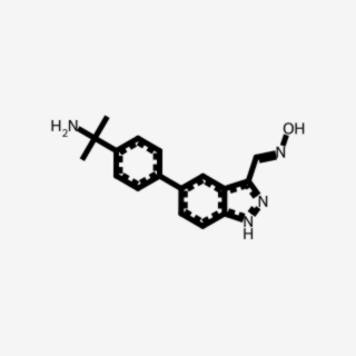 CC(C)(N)c1ccc(-c2ccc3[nH]nc(C=NO)c3c2)cc1